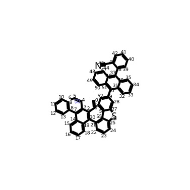 C=Cc1c(/C=C\C)c(-c2ccccc2)c2ccccc2c1-c1cccc2sc3cc(-c4c5ccccc5c(-c5ccccc5C#N)c5ccccc45)ccc3c12